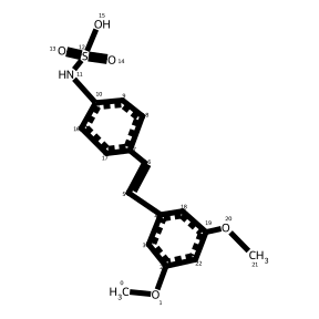 COc1cc(/C=C/c2ccc(NS(=O)(=O)O)cc2)cc(OC)c1